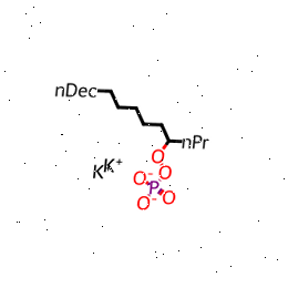 CCCCCCCCCCCCCCCC(CCC)OOP(=O)([O-])[O-].[K+].[K+]